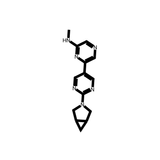 CNc1cncc(-c2cnc(N3CC4CC4C3)nc2)n1